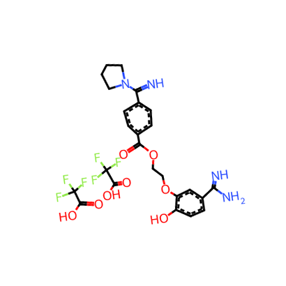 N=C(N)c1ccc(O)c(OCCOC(=O)c2ccc(C(=N)N3CCCC3)cc2)c1.O=C(O)C(F)(F)F.O=C(O)C(F)(F)F